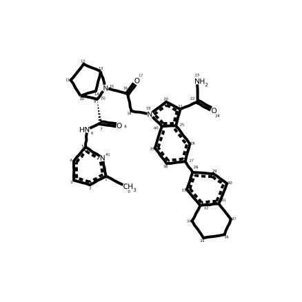 Cc1cccc(NC(=O)[C@@H]2C3CCC(C3)N2C(=O)Cn2cc(C(N)=O)c3cc(-c4ccc5c(c4)CCCC5)ccc32)n1